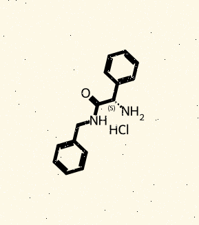 Cl.N[C@H](C(=O)NCc1ccccc1)c1ccccc1